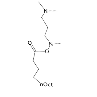 CCCCCCCCCCCC(=O)ON(C)CCCN(C)C